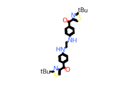 CC(C)(C)c1nc(C(=O)c2ccc(NCCNc3ccc(C(=O)c4csc(C(C)(C)C)n4)cc3)cc2)cs1